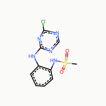 CS(=O)(=O)Nc1ccccc1Nc1ncnc(Cl)n1